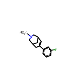 O=C(O)N1CC2C=C(c3cccc(F)c3)CC(C2)C1